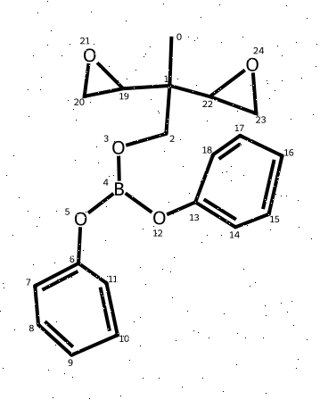 CC(COB(Oc1ccccc1)Oc1ccccc1)(C1CO1)C1CO1